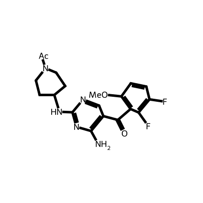 COc1ccc(F)c(F)c1C(=O)c1cnc(NC2CCN(C(C)=O)CC2)nc1N